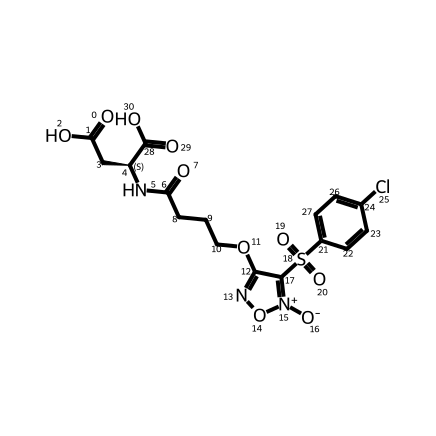 O=C(O)C[C@H](NC(=O)CCCOc1no[n+]([O-])c1S(=O)(=O)c1ccc(Cl)cc1)C(=O)O